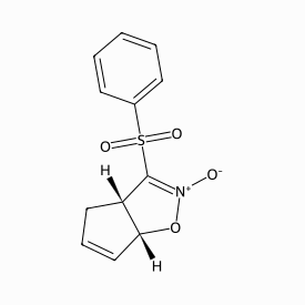 O=S(=O)(C1=[N+]([O-])O[C@@H]2C=CC[C@H]12)c1ccccc1